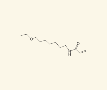 C=CC(=O)NCCCCCCCOCC